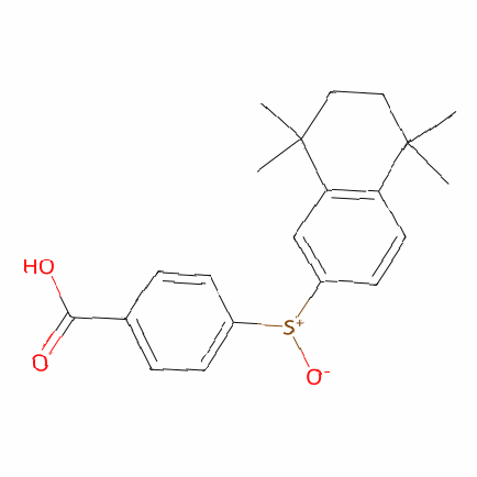 CC1(C)CCC(C)(C)c2cc([S+]([O-])c3ccc(C(=O)O)cc3)ccc21